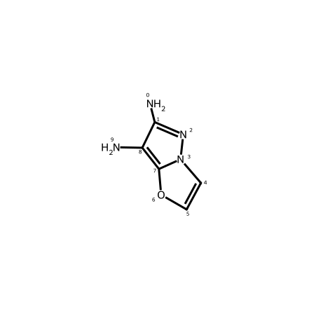 Nc1nn2ccoc2c1N